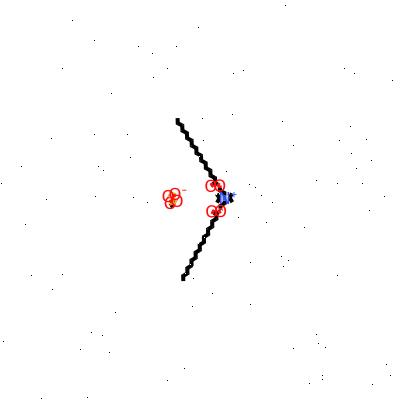 CCCCCCCCCCCCCCCCCC(=O)OCC[N+](CCOC(=O)CCCCCCCCCCCCCCCCC)(C(C)C)C(C)C.COS(=O)(=O)[O-]